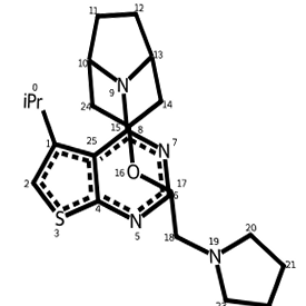 CC(C)c1csc2ncnc(N3C4CCC3CC(OCCN3CCCC3)C4)c12